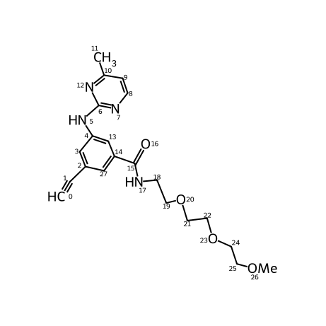 C#Cc1cc(Nc2nccc(C)n2)cc(C(=O)NCCOCCOCCOC)c1